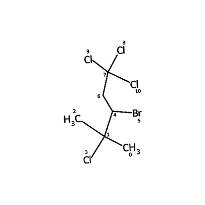 CC(C)(Cl)C(Br)CC(Cl)(Cl)Cl